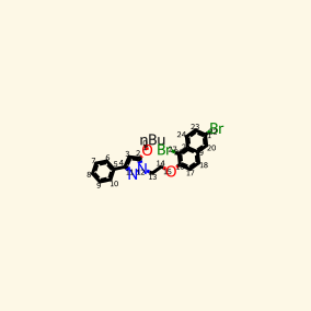 CCCCOc1cc(-c2ccccc2)nn1CCOc1ccc2cc(Br)ccc2c1Br